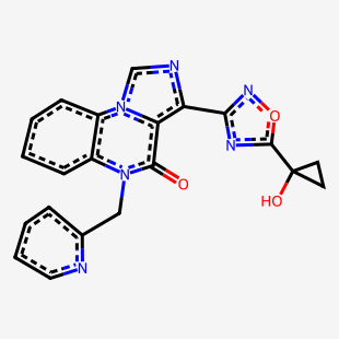 O=c1c2c(-c3noc(C4(O)CC4)n3)ncn2c2ccccc2n1Cc1ccccn1